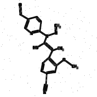 C=NN(/C(O)=C(\C)c1ccc(C#N)cc1OC)c1ccc(C=O)cn1